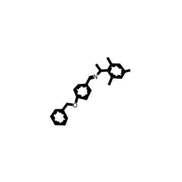 Cc1cc(C)c(C(C)N=Cc2ccc(OCc3ccccc3)cc2)c(C)c1